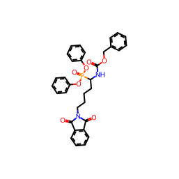 O=C(NC(CCCCN1C(=O)c2ccccc2C1=O)P(=O)(Oc1ccccc1)Oc1ccccc1)OCc1ccccc1